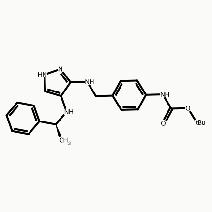 C[C@H](Nc1c[nH]nc1NCc1ccc(NC(=O)OC(C)(C)C)cc1)c1ccccc1